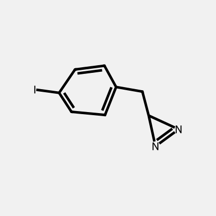 Ic1ccc(CC2N=N2)cc1